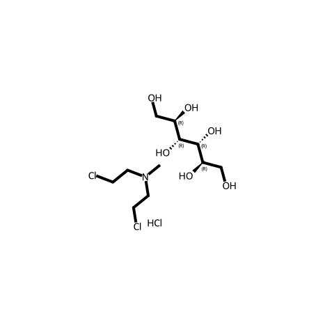 CN(CCCl)CCCl.Cl.OC[C@@H](O)[C@@H](O)[C@H](O)[C@H](O)CO